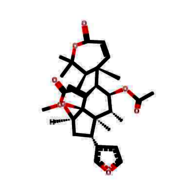 C=C1[C@@H]([C@@]2(C)C=CC(=O)OC(C)(C)[C@@H]2CC(=O)OC)[C@@H](OC(C)=O)[C@H](C)[C@@]2(C)[C@H](c3ccoc3)C[C@H]3O[C@]132